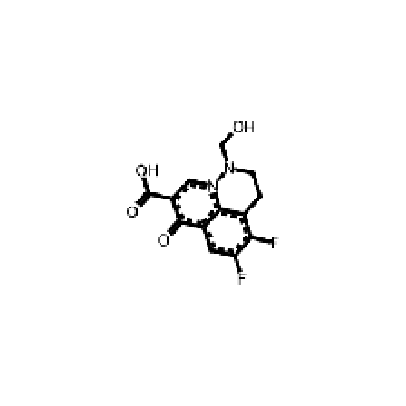 O=C(O)c1cn2c3c(c(F)c(F)cc3c1=O)CCN2CO